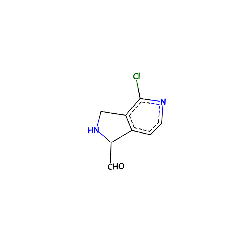 O=CC1NCc2c1ccnc2Cl